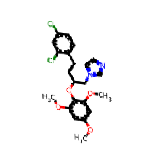 COc1cc(OC)c(OC(CCc2ccc(Cl)cc2Cl)Cn2ccnc2)c(OC)c1